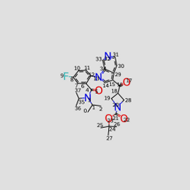 CC(C)N(C(=O)c1cc(F)ccc1-n1cc(C(=O)C2CN(C(=O)OC(C)(C)C)C2)c2ccncc21)C(C)C